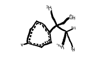 [2H]C([2H])([2H])C([2H])(O)c1ccc(F)cc1